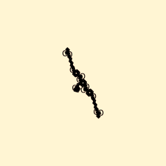 C=CC(=O)OCCCCCCOc1ccc(C(=O)Oc2ccc(OC(=O)c3ccc(OCCCCCCOC(=O)C=C)cc3)c(Cc3ccco3)c2)cc1